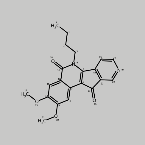 CCCCn1c2c(c3cc(OC)c(OC)cc3c1=O)C(=O)c1cnccc1-2